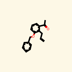 C=CCc1c(OCc2ccccc2)cccc1C(C)=O